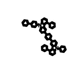 c1ccc(-c2ccc(-n3c4ccc(-c5ccc(-c6ccc7c(c6)c6c(-c8ccccc8)cccc6n7-c6ccccc6)cc5)cc4c4c(-c5ccccc5)cccc43)cc2)cc1